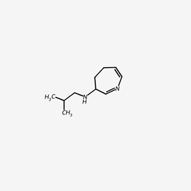 CC(C)CNC1C=NC=CCC1